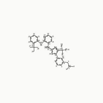 CN(C)Cc1cccc(-c2sc(Nc3cccnc3Oc3ccccc3C(C)(C)C)nc2C(F)(F)F)c1